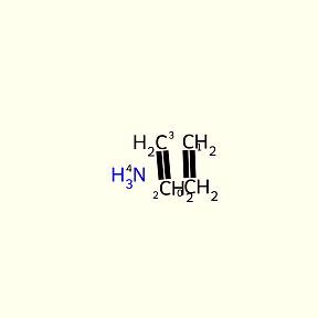 C=C.C=C.N